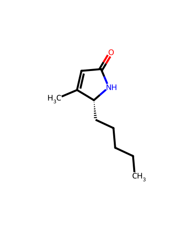 CCCCC[C@H]1NC(=O)C=C1C